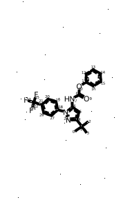 CC(C)(C)c1cc(NC(=O)Oc2ccccc2)n(-c2ccc(C(F)(F)F)cc2)n1